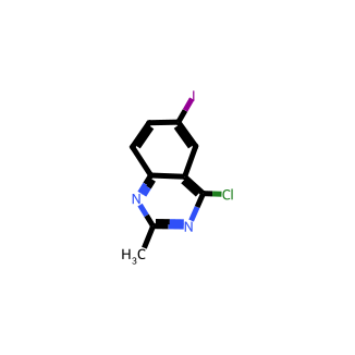 Cc1nc(Cl)c2cc(I)ccc2n1